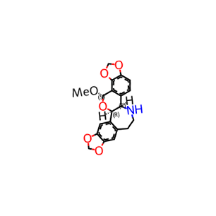 CO[C@H]1O[C@@H]2c3cc4c(cc3CCN[C@@H]2c2ccc3c(c21)OCO3)OCO4